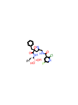 CC(C)C[C@H](NC(=O)C1(Cc2ccccc2)CC(CNC(=O)c2cc(F)cnc2Cl)=NO1)B(O)O